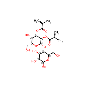 C=C(C)C(=O)O[C@H]1[C@H](O[C@H]2[C@H](O)[C@@H](O)[C@H](O)O[C@@H]2CO)O[C@H](CO)[C@H](O)[C@@H]1OC(=O)C(=C)C